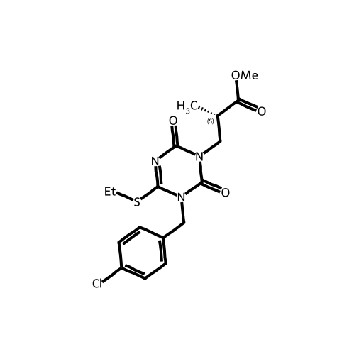 CCSc1nc(=O)n(C[C@H](C)C(=O)OC)c(=O)n1Cc1ccc(Cl)cc1